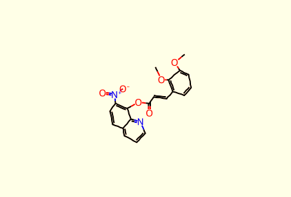 COc1cccc(C=CC(=O)Oc2c([N+](=O)[O-])ccc3cccnc23)c1OC